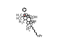 C=C(C)[C@]12C[C@@H](C)[C@@]34O[C@](c5ccccc5)(O[C@@H]1C3[C@@H]1O[C@]1(CO)[C@@H](O)[C@@]1(O)C4C[C@H](C)[C@@H]1OC(=O)/C=C/C=C/C=C/CCC)O2